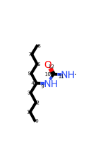 CCCCC(CCCC)NC([NH])=O